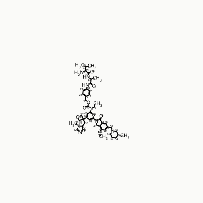 CCN(C(=O)OCc1ccc(NC(=O)C(C)NC(=O)C(N)C(C)C)cc1)c1cc(C2(Cc3nncn3C)COC2)cc(N2Cc3c(SC)cc(CN4CCC[C@H](C)C4)cc3C2=O)n1